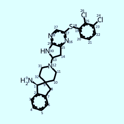 N[C@@H]1c2ccccc2CC12CCN(C1Cc3nc(Sc4cccc(Cl)c4Cl)cnc3N1)CC2